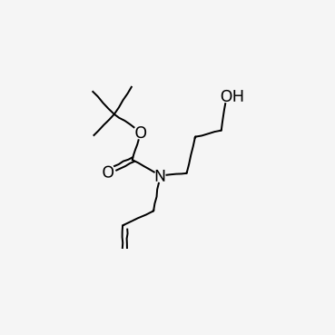 C=CCN(CCCO)C(=O)OC(C)(C)C